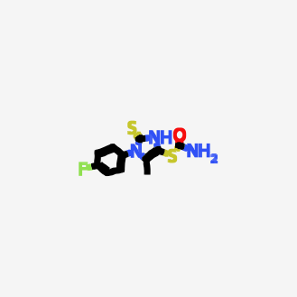 Cc1c(SC(N)=O)[nH]c(=S)n1-c1ccc(F)cc1